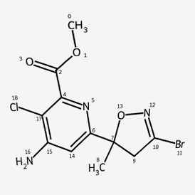 COC(=O)c1nc(C2(C)CC(Br)=NO2)cc(N)c1Cl